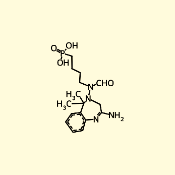 CC1(C)c2ccccc2N=C(N)CN1N(C=O)CCCCP(=O)(O)O